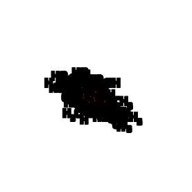 CC(=O)NC1C(OC2[C@@H](OCC3O[C@@H](O[C@@H]4C(CO)O[C@@H](O[C@@H]5C(CO)O[C@@H](C)C(NC(C)=O)[C@H]5O)C(NC(C)=O)[C@H]4O)C(O)[C@@H](O[C@H]4OC(CO)[C@@H](O)C(O)C4O[C@@H]4OC(CO)[C@@H](O[C@@H]5OC(CO)[C@H](O)[C@H](O[C@]6(OC=O)C[C@@H](O)[C@@H](C)C(C(O)[C@H](O)CO)O6)C5O)[C@H](O)C4NC(C)=O)[C@@H]3O)OC(CO)[C@@H](O)[C@@H]2O)O[C@@H](CO)[C@@H](O)C1O